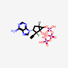 C#C[C@]1(F)[C@H](n2cnc3c(N)ncnc32)C[C@@H]2C(OP(=O)(O)OP(=O)(O)OP(=O)(O)O)[C@@]21O